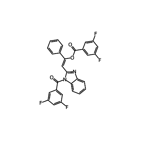 O=C(OC(=Cc1nc2ccccc2n1C(=O)c1cc(F)cc(F)c1)c1ccccc1)c1cc(F)cc(F)c1